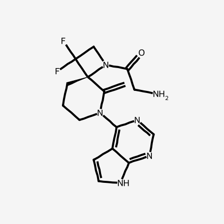 C=C1N(c2ncnc3[nH]ccc23)CCC[C@@]12N(C(=O)CN)CC2(F)F